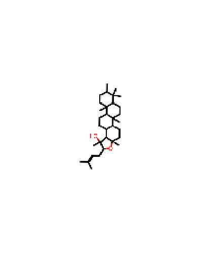 CC(C)=CCC1OC2(C)CCC3C(CCC4C3(C)CCC3C(C)(C)C(C)CCC34C)C2C1(C)O